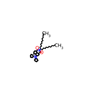 CCCCCCCCCCCC(CCCCCCCCCCC)N1C(=O)c2cccc3c(N(c4ccccc4)c4ccccc4)ccc(c23)C1=O